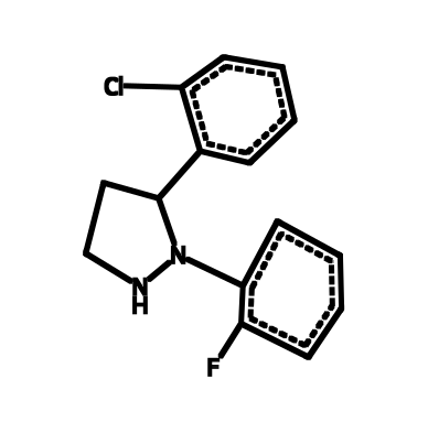 Fc1ccccc1N1NCCC1c1ccccc1Cl